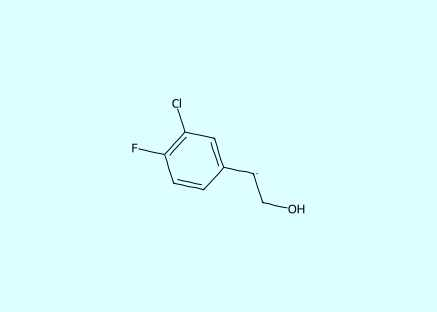 OC[CH]c1ccc(F)c(Cl)c1